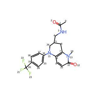 CC(=O)NCC1Cc2c(ccc(=O)n2C)N(c2ccc(C(F)(F)F)cc2)C1